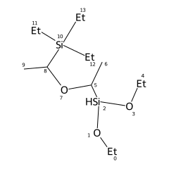 CCO[SiH](OCC)C(C)OC(C)[Si](CC)(CC)CC